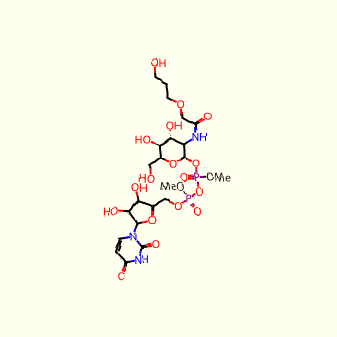 COP(=O)(OCC1OC(n2ccc(=O)[nH]c2=O)C(O)C1O)OP(=O)(OC)O[C@H]1OC(CO)[C@@H](O)[C@H](O)C1NC(=O)COCCCO